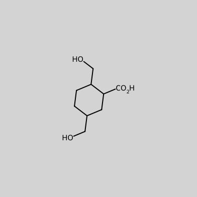 O=C(O)C1CC(CO)CCC1CO